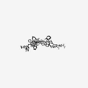 C[C@@H](C(=O)N[C@@H](Cc1c[nH]c2ccccc12)C(=O)N[C@H](Cc1ccccc1)C(=O)N[C@@H](CCCCN)C(N)=O)N1CCCN(NC(=O)[C@@H](N)Cc2cnc[nH]2)C1=O